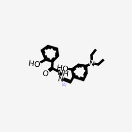 CCN(CC)c1ccc(/C=N\NC(=O)c2ccccc2O)c(O)c1